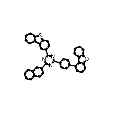 c1ccc2cc(-c3nc(-c4ccc(-c5cccc6oc7ccccc7c56)cc4)nc(-c4ccc5sc6ccccc6c5c4)n3)ccc2c1